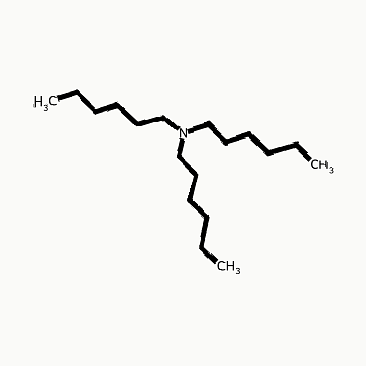 CCCCC[CH]N(CCCCCC)CCCCCC